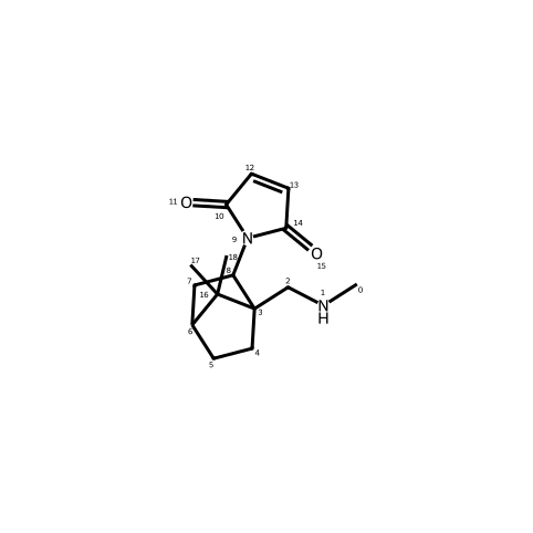 CNCC12CCC(CC1N1C(=O)C=CC1=O)C2(C)C